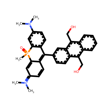 CN(C)c1ccc2c(c1)P(C)(=O)C1=CC(=[N+](C)C)C=CC1=C2c1ccc2c(CO)c3ccccc3c(CO)c2c1